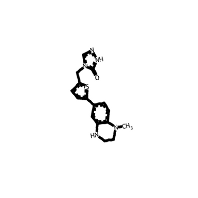 CN1CCNc2cc(-c3ccc(Cn4cn[nH]c4=O)s3)ccc21